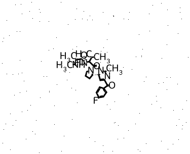 CNC(C)C(=O)NC(C(=O)N1CCC[C@H]1c1cc(C(=O)c2ccc(F)cc2)nc(C)n1)C(C)C